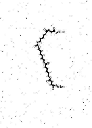 CCCCCCCCCOC(=O)CCC(=O)OCCCCCC(=O)OCCCCCCOC(=O)CCCCCOC(=O)CCC(=O)OCCCCCCCCC